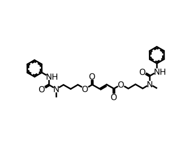 CN(CCCOC(=O)/C=C/C(=O)OCCCN(C)C(=O)Nc1ccccc1)C(=O)Nc1ccccc1